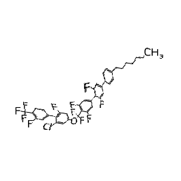 CCCCCCCc1ccc(-c2cc(F)c(-c3cc(F)c(C(F)(F)Oc4cc(F)c(-c5ccc(C(F)(F)F)c(F)c5)c(Cl)c4)c(F)c3)c(F)c2)cc1